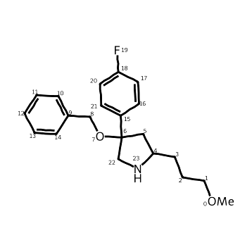 COCCCC1CC(OCc2ccccc2)(c2ccc(F)cc2)CN1